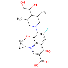 COc1c(N2CC(C)C(C(O)CO)C(C)C2)c(F)cc2c(=O)c(C(=O)O)cn(C3CC3)c12